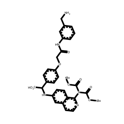 CC(C)(C)OC(=O)N(C(=O)OC(C)(C)C)c1nccc2cc(NC(C(=O)O)c3ccc(OCC(=O)Nc4cccc(CN)c4)cc3)ccc12